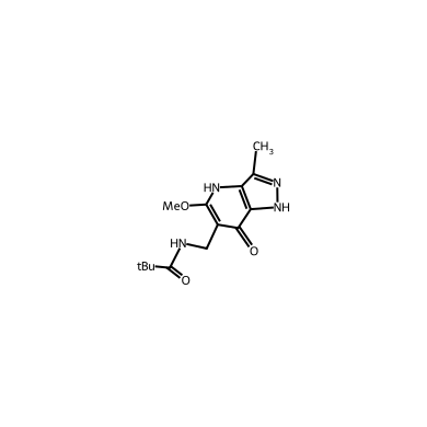 COc1[nH]c2c(C)n[nH]c2c(=O)c1CNC(=O)C(C)(C)C